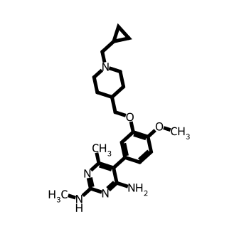 CNc1nc(C)c(-c2ccc(OC)c(OCC3CCN(CC4CC4)CC3)c2)c(N)n1